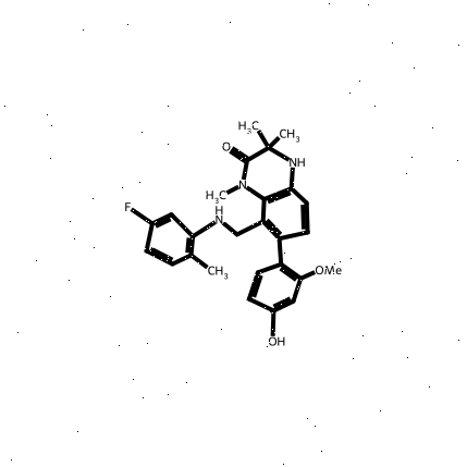 COc1cc(O)ccc1-c1ccc2c(c1CNc1cc(F)ccc1C)N(C)C(=O)C(C)(C)N2